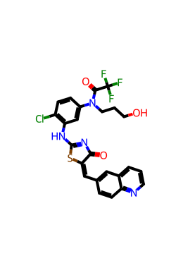 O=C1N=C(Nc2cc(N(CCCO)C(=O)C(F)(F)F)ccc2Cl)SC1=Cc1ccc2ncccc2c1